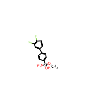 CO[Si](O)(O)c1ccc(-c2ccc(F)c(F)c2)cc1